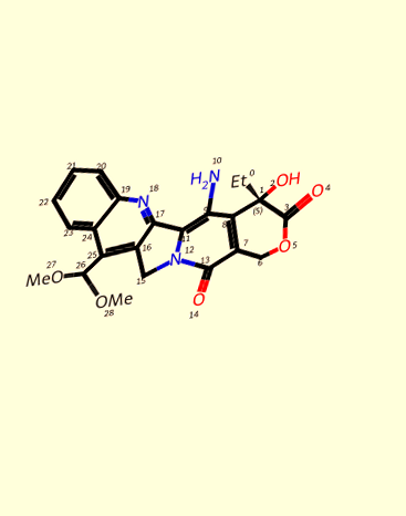 CC[C@@]1(O)C(=O)OCc2c1c(N)c1n(c2=O)Cc2c-1nc1ccccc1c2C(OC)OC